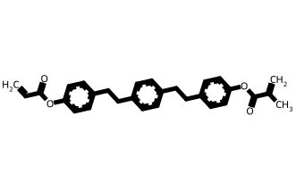 C=CC(=O)Oc1ccc(CCc2ccc(CCc3ccc(OC(=O)C(=C)C)cc3)cc2)cc1